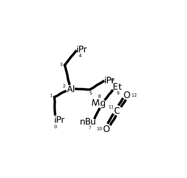 CC(C)[CH2][Al]([CH2]C(C)C)[CH2]C(C)C.CCC[CH2][Mg][CH2]C.O=C=O